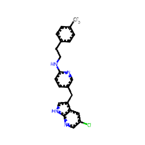 FC(F)(F)c1ccc(CCNc2ccc(Cc3c[nH]c4ncc(Cl)cc34)cn2)cc1